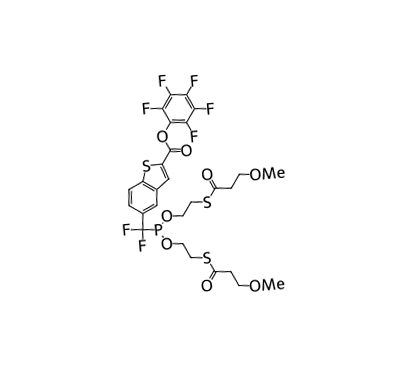 COCCC(=O)SCCOP(OCCSC(=O)CCOC)C(F)(F)c1ccc2sc(C(=O)Oc3c(F)c(F)c(F)c(F)c3F)cc2c1